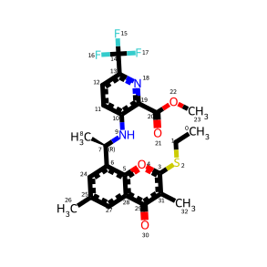 CCSc1oc2c([C@@H](C)Nc3ccc(C(F)(F)F)nc3C(=O)OC)cc(C)cc2c(=O)c1C